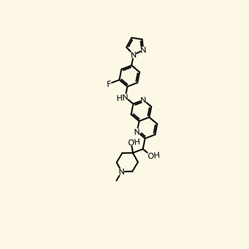 CN1CCC(O)(C(O)c2ccc3cnc(Nc4ccc(-n5cccn5)cc4F)cc3n2)CC1